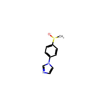 C[S+]([O-])c1ccc(-n2c[c]nc2)cc1